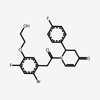 O=C1C=CN(C(=O)Cc2cc(OCCO)c(F)cc2Br)C(c2ccc(F)cc2)C1